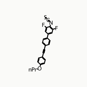 CCCOc1ccc(C#Cc2ccc(-c3cc(F)c(N=C=S)c(F)c3)cc2)cc1